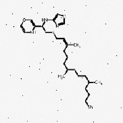 CC(=CCSCC(Nc1cocn1)C1=COC=CN1)CCCC(C)CCCC(C)CCCC(C)C